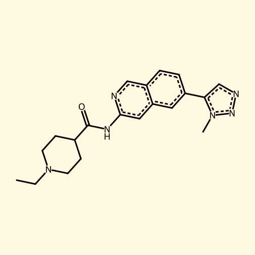 CCN1CCC(C(=O)Nc2cc3cc(-c4cnnn4C)ccc3cn2)CC1